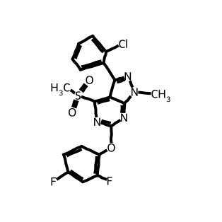 Cn1nc(-c2ccccc2Cl)c2c(S(C)(=O)=O)nc(Oc3ccc(F)cc3F)nc21